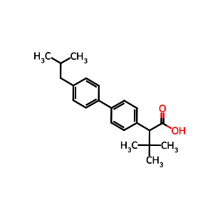 CC(C)Cc1ccc(-c2ccc(C(C(=O)O)C(C)(C)C)cc2)cc1